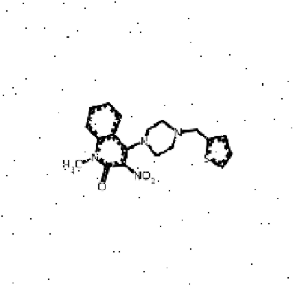 Cn1c(=O)c([N+](=O)[O-])c(N2CCN(Cc3cccs3)CC2)c2ccccc21